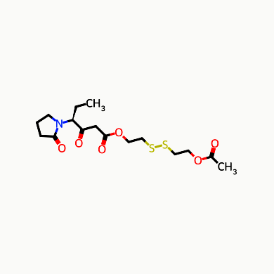 CC[C@@H](C(=O)CC(=O)OCCSSCCOC(C)=O)N1CCCC1=O